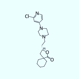 O=C1O[C@@H](CCN2CCN(c3ccnc(Cl)c3)CC2)CC12CCCCC2